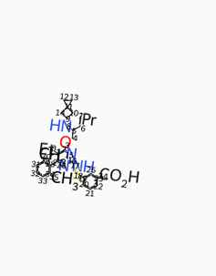 CCc1c(OCC(CC(C)C)NC2CC3(CC3)C2)nc(NSc2cccc(C(=O)O)c2)nc1-c1c(C)cccc1C